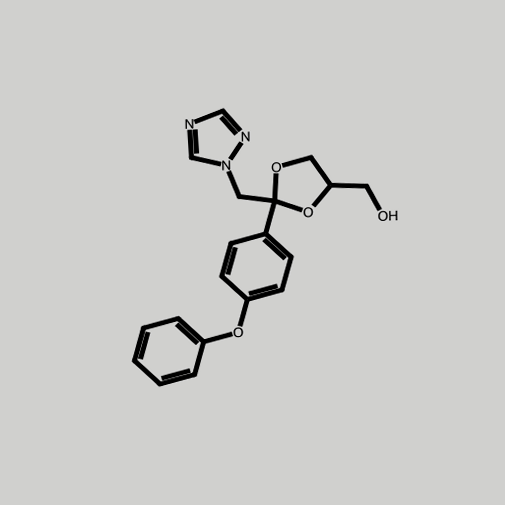 OCC1COC(Cn2cncn2)(c2ccc(Oc3ccccc3)cc2)O1